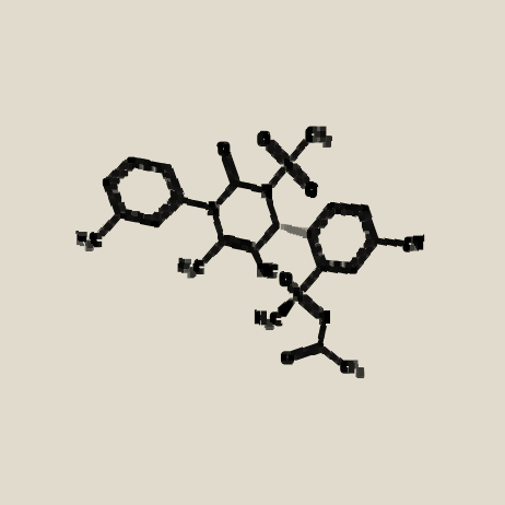 [C-]#[N+]C1=C(C)N(c2cccc(C(F)(F)F)c2)C(=O)N(S(C)(=O)=O)[C@@H]1c1ccc(C#N)cc1[S@@](C)(=O)=NC(=O)C(F)(F)F